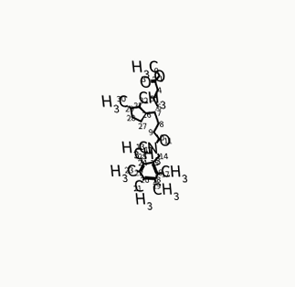 COC(=O)CCC[C@H](CCC(=O)N(C)Cc1c(C)c(C)c(C)c(C)c1C)[C@H]1CC[C@@H](C)C1C